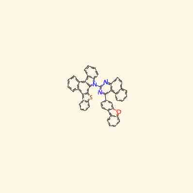 c1ccc2c(c1)ccc1nc(-n3c4ccccc4c4c5ccccc5c5c6ccccc6sc5c43)nc(-c3ccc4c(c3)oc3ccccc34)c12